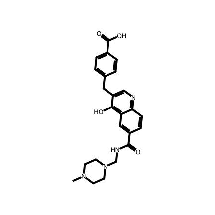 CN1CCN(CNC(=O)c2ccc3ncc(Cc4ccc(C(=O)O)cc4)c(O)c3c2)CC1